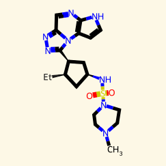 CC[C@@H]1C[C@H](NS(=O)(=O)N2CCN(C)CC2)C[C@@H]1c1nnc2cnc3[nH]ccc3n12